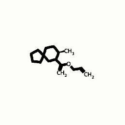 C=CCOC(=C)C1CC2(CCCC2)CC[C@H]1C